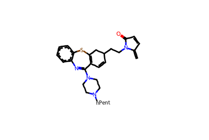 C=C1C=CC(=O)N1CCC1C=CC2=C(C1)Sc1ccccc1N=C2N1CCN(CCCCC)CC1